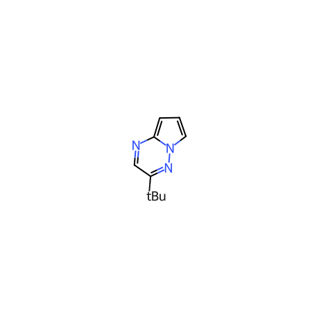 CC(C)(C)c1cnc2cccn2n1